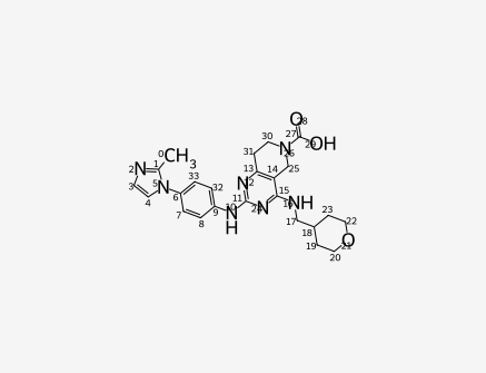 Cc1nccn1-c1ccc(Nc2nc3c(c(NCC4CCOCC4)n2)CN(C(=O)O)CC3)cc1